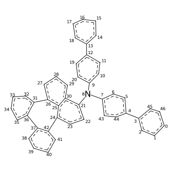 c1ccc(-c2ccc(N(c3ccc(-c4ccccc4)cc3)c3ccc4c5c(cccc35)-c3ccccc3-c3ccccc3-4)cc2)cc1